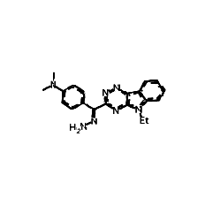 CCn1c2ccccc2c2nnc(C(=NN)c3ccc(N(C)C)cc3)nc21